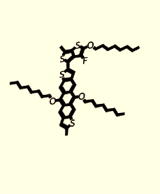 CCCCCCCCOc1sc2c(C)sc(-c3cc4cc5c(OCCCCCCCC)c6cc7sc(C)cc7cc6c(OCCCCCCCC)c5cc4s3)c2c1F